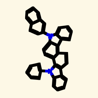 c1ccc(-n2c3ccccc3c3ccc4c(ccc5c4c4ccccc4n5-c4ccc5ccccc5c4)c32)cc1